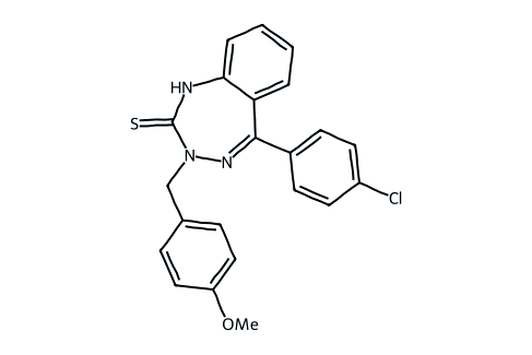 COc1ccc(CN2N=C(c3ccc(Cl)cc3)c3ccccc3NC2=S)cc1